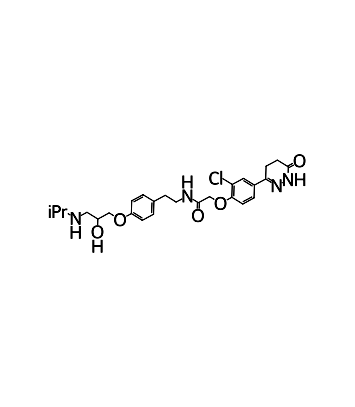 CC(C)NCC(O)COc1ccc(CCNC(=O)COc2ccc(C3=NNC(=O)CC3)cc2Cl)cc1